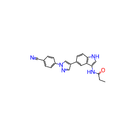 CCC(=O)Nc1c[nH]c2ccc(-c3cnn(-c4ccc(C#N)cc4)c3)cc12